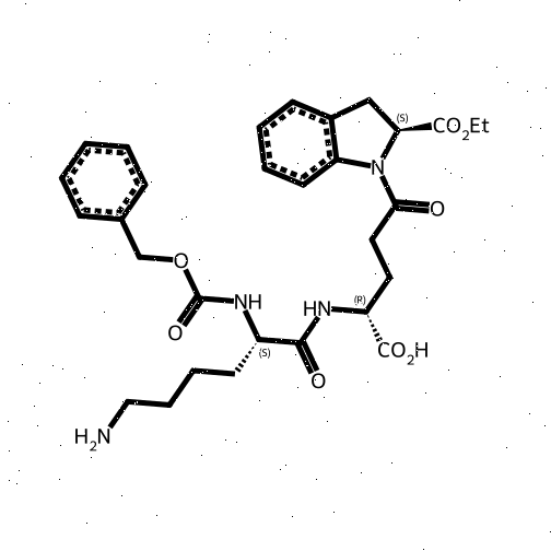 CCOC(=O)[C@@H]1Cc2ccccc2N1C(=O)CC[C@@H](NC(=O)[C@H](CCCCN)NC(=O)OCc1ccccc1)C(=O)O